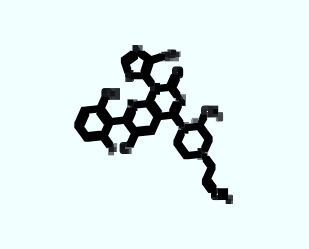 C=CCN1CCN(c2nc(=O)n(-c3scnc3CCC)c3nc(-c4c(O)cccc4F)c(Cl)cc23)[C@@H](C)C1